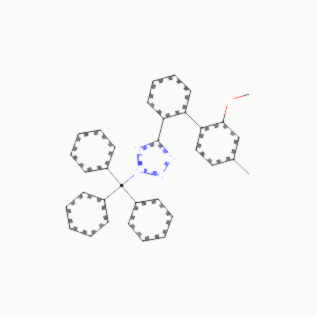 COc1cc(C)ccc1-c1ccccc1-c1nnn(C(c2ccccc2)(c2ccccc2)c2ccccc2)n1